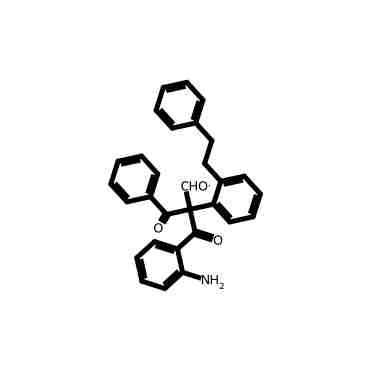 Nc1ccccc1C(=O)C([C]=O)(C(=O)c1ccccc1)c1ccccc1CCc1ccccc1